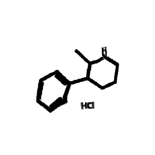 CC1NCCCC1c1ccccc1.Cl